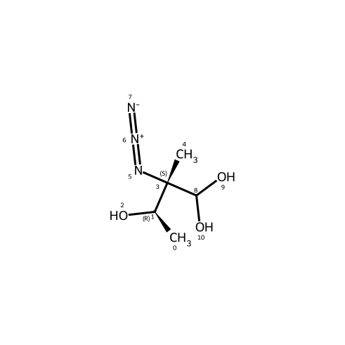 C[C@@H](O)[C@](C)(N=[N+]=[N-])C(O)O